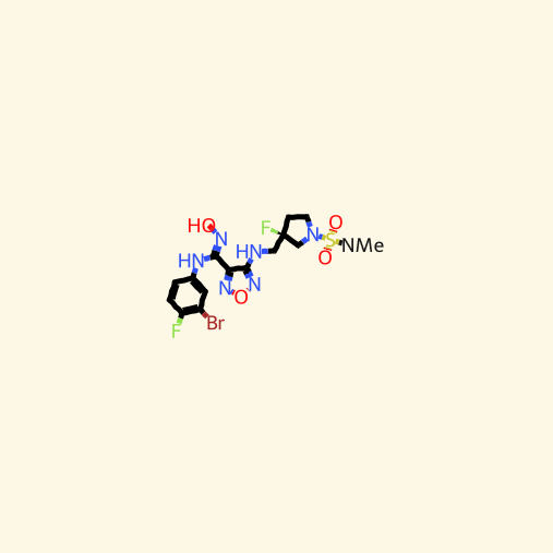 CNS(=O)(=O)N1CC[C@@](F)(CNc2nonc2/C(=N/O)Nc2ccc(F)c(Br)c2)C1